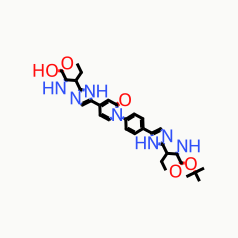 CCC(C(=N)C(=O)O)c1ncc(-c2ccn(-c3ccc(-c4cnc(C(CC)C(=N)C(=O)OC(C)(C)C)[nH]4)cc3)c(=O)c2)[nH]1